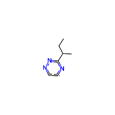 CCC(C)c1n[c]cnn1